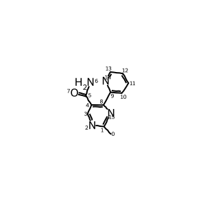 Cc1ncc(C(N)=O)c(-c2ccccn2)n1